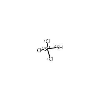 S[Si](Cl)(Cl)Cl